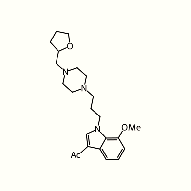 COc1cccc2c(C(C)=O)cn(CCCN3CCN(CC4CCCO4)CC3)c12